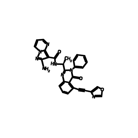 C[C@H](NC(=O)c1c(N)nn2cccnc12)c1nc2cccc(C#Cc3cocn3)c2c(=O)n1-c1ccccc1